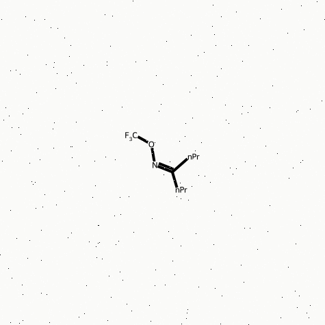 CCCC(CCC)=NOC(F)(F)F